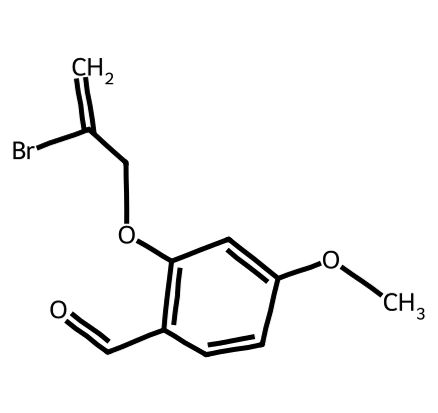 C=C(Br)COc1cc(OC)ccc1C=O